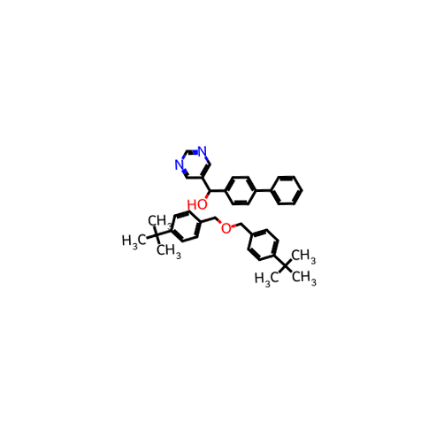 CC(C)(C)c1ccc(COCc2ccc(C(C)(C)C)cc2)cc1.OC(c1ccc(-c2ccccc2)cc1)c1cncnc1